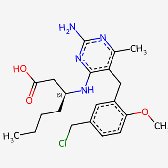 CCCC[C@@H](CC(=O)O)Nc1nc(N)nc(C)c1Cc1cc(CCl)ccc1OC